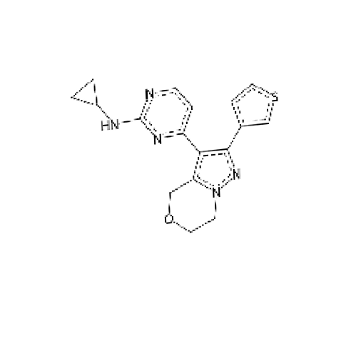 c1cc(-c2c(-c3ccsc3)nn3c2COCC3)nc(NC2CC2)n1